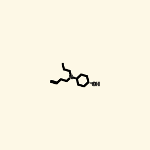 C=CCCN(CCC)[C@H]1CC[C@H](O)CC1